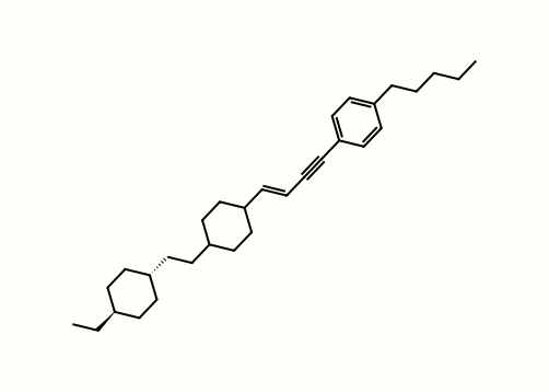 CCCCCc1ccc(C#C/C=C/C2CCC(CC[C@H]3CC[C@H](CC)CC3)CC2)cc1